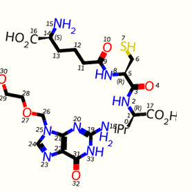 CC(C)[C@@H](NC(=O)[C@H](CS)NC(=O)CCC[C@H](N)C(=O)O)C(=O)O.Nc1nc2c(ncn2COCCO)c(=O)[nH]1